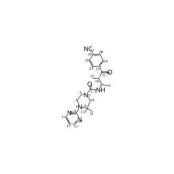 CC(NC(=O)N1CCN(c2ncccn2)C(C)(C)C1)C(C)C(=O)c1ccc(C#N)cc1